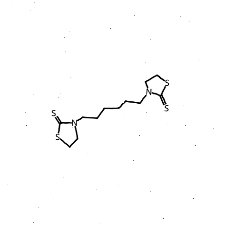 S=C1SCCN1CCCCCCN1CCSC1=S